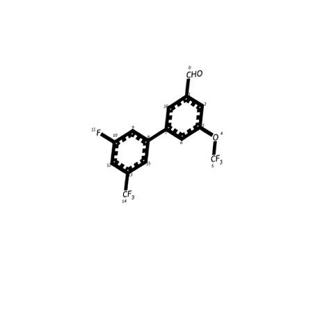 O=Cc1cc(OC(F)(F)F)cc(-c2cc(F)cc(C(F)(F)F)c2)c1